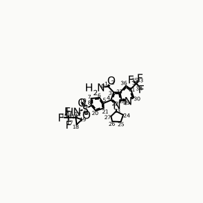 NC(=O)c1c(-c2ccc(S(=O)(=O)NC3(C(F)(F)F)CC3)cc2)n(C2CCCC2)c2ncc(C(F)(F)F)cc12